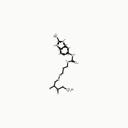 CC(CSSCCCOC(=O)Oc1ccc2nc(C#N)sc2c1)C(C)CC(=O)O